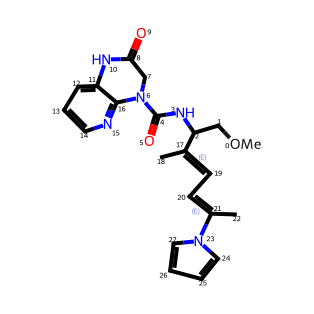 COCC(NC(=O)N1CC(=O)Nc2cccnc21)/C(C)=C/C=C(\C)n1cccc1